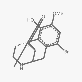 COc1cc(Br)c2c(c1O)[C@]13CCNC(C2)C1CCC(=O)C3